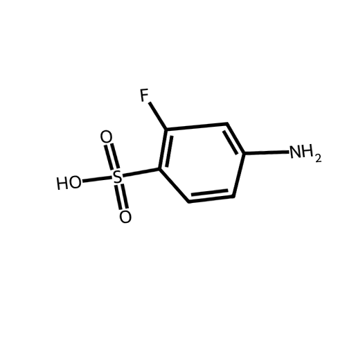 Nc1ccc(S(=O)(=O)O)c(F)c1